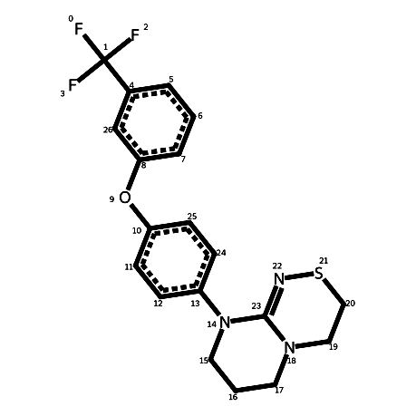 FC(F)(F)c1cccc(Oc2ccc(N3CCCN4CCSN=C43)cc2)c1